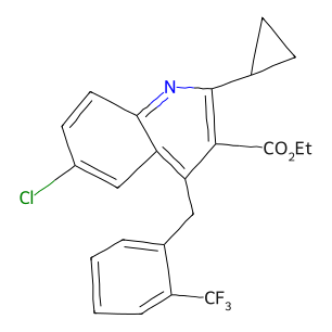 CCOC(=O)c1c(C2CC2)nc2ccc(Cl)cc2c1Cc1ccccc1C(F)(F)F